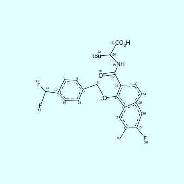 Cc1cc2c(OCc3ccc(C(F)F)cc3)c(C(=O)NC(C(=O)O)C(C)(C)C)ccc2cc1F